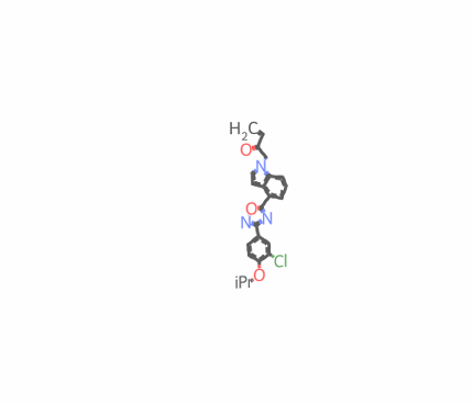 C=CC(=O)Cn1ccc2c(-c3nc(-c4ccc(OC(C)C)c(Cl)c4)no3)cccc21